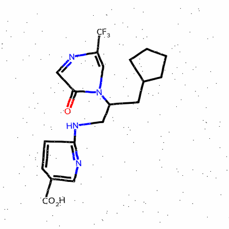 O=C(O)c1ccc(NCC(CC2CCCC2)n2cc(C(F)(F)F)ncc2=O)nc1